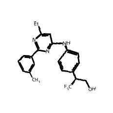 CCc1cc(Nc2ccc(C(CO)C(F)(F)F)cc2)nc(-c2cccc(C)c2)n1